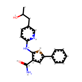 CC(O)Cc1ccc(Nc2sc(-c3ccccc3)cc2C(N)=O)nc1